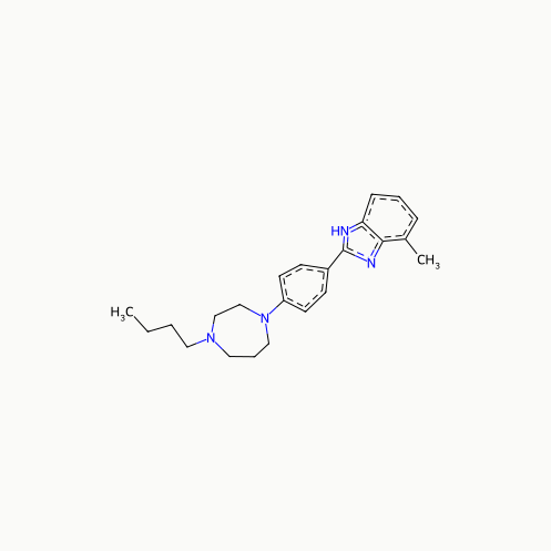 CCCCN1CCCN(c2ccc(-c3nc4c(C)cccc4[nH]3)cc2)CC1